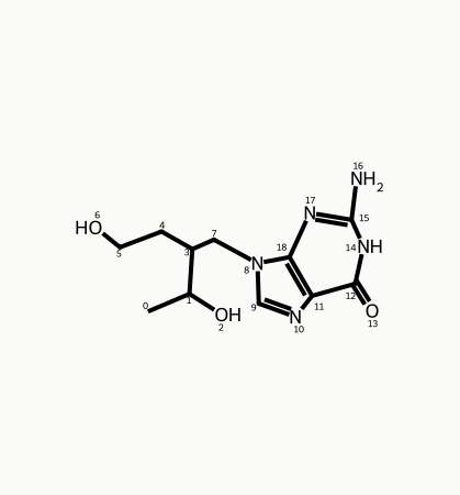 CC(O)C(CCO)Cn1cnc2c(=O)[nH]c(N)nc21